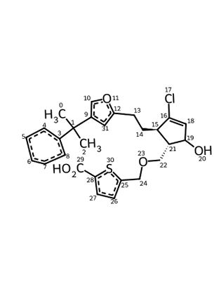 CC(C)(c1ccccc1)c1coc(CC[C@H]2C(Cl)=CC(O)[C@@H]2COCc2ccc(C(=O)O)s2)c1